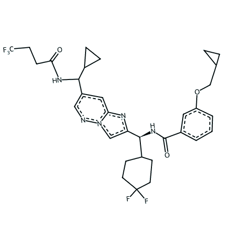 O=C(CCC(F)(F)F)NC(c1cnn2cc([C@@H](NC(=O)c3cccc(OCC4CC4)c3)C3CCC(F)(F)CC3)nc2c1)C1CC1